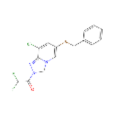 O=C(C(F)F)N1CN2C=C(SCc3ccccc3)C=C(Cl)C2=N1